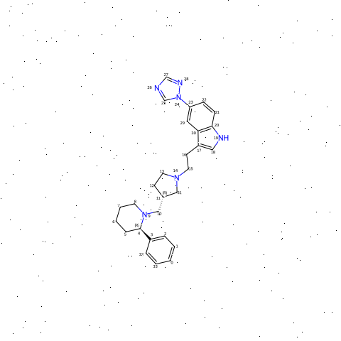 c1ccc([C@H]2CCCCN2C[C@@H]2CCN(CCc3c[nH]c4ccc(-n5cncn5)cc34)C2)cc1